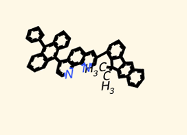 CC1(C)c2cc3ccccc3cc2-c2cccc(-c3cnc4c(ccc5c(-c6c7ccccc7c(-c7ccccc7)c7ccccc67)ccnc54)c3)c21